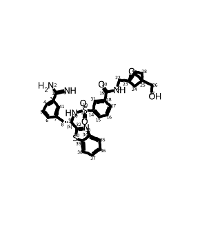 N=C(N)c1cccc(C[C@H](NS(=O)(=O)c2cccc(C(=O)NCC34CC(CO)(CO3)C4)c2)c2nc3ccccc3s2)c1